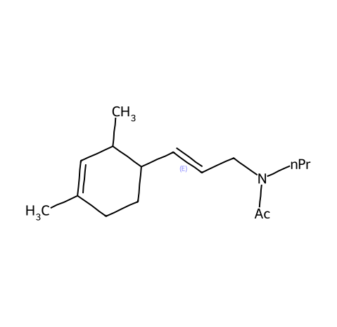 CCCN(C/C=C/C1CCC(C)=CC1C)C(C)=O